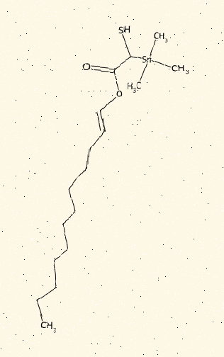 CCCCCCCCCCC=COC(=O)[CH](S)[Sn]([CH3])([CH3])[CH3]